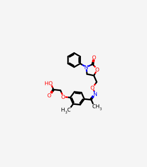 C/C(=N/OCC1CN(c2ccccc2)C(=O)O1)c1ccc(OCC(=O)O)c(C)c1